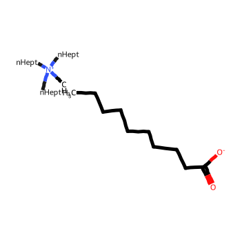 CCCCCCCCCC(=O)[O-].CCCCCCC[N+](C)(CCCCCCC)CCCCCCC